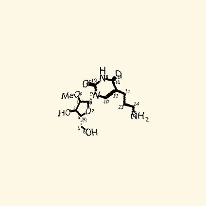 COC1C(O)[C@@H](CO)O[C@H]1n1cc(CCCN)c(=O)[nH]c1=O